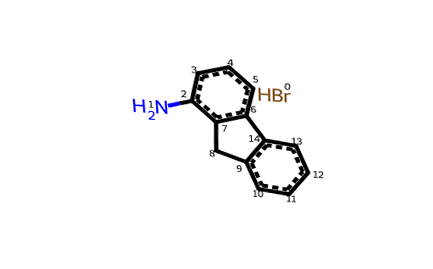 Br.Nc1cccc2c1Cc1ccccc1-2